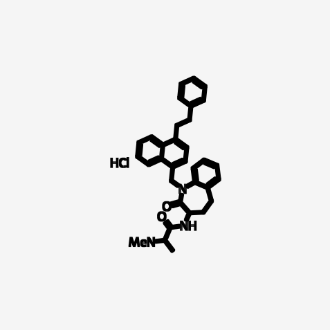 CNC(C)C(=O)NC1CCc2ccccc2N(Cc2ccc(CCc3ccccc3)c3ccccc23)C1=O.Cl